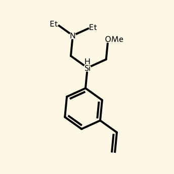 C=Cc1cccc([SiH](COC)CN(CC)CC)c1